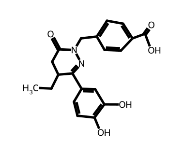 CCC1CC(=O)N(Cc2ccc(C(=O)O)cc2)N=C1c1ccc(O)c(O)c1